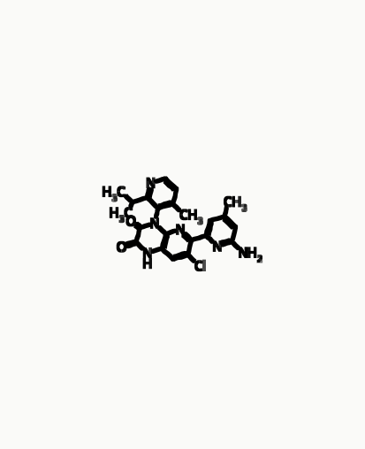 Cc1cc(N)nc(-c2nc3c(cc2Cl)[nH]c(=O)c(=O)n3-c2c(C)ccnc2C(C)C)c1